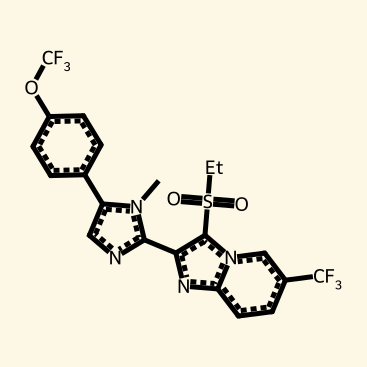 CCS(=O)(=O)c1c(-c2ncc(-c3ccc(OC(F)(F)F)cc3)n2C)nc2ccc(C(F)(F)F)cn12